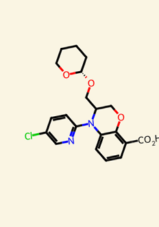 O=C(O)c1cccc2c1OCC(CO[C@H]1CCCCO1)N2c1ccc(Cl)cn1